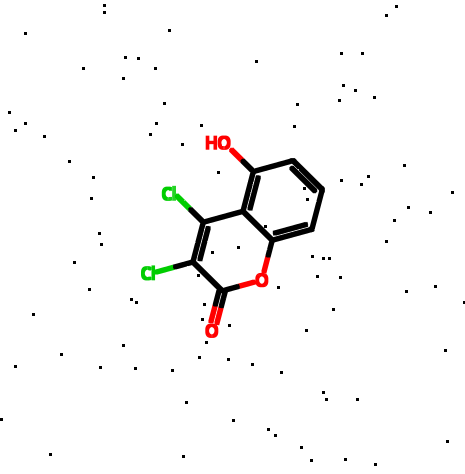 O=c1oc2cccc(O)c2c(Cl)c1Cl